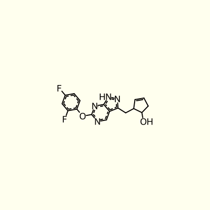 OC1CC=CC1Cc1n[nH]c2nc(Oc3ccc(F)cc3F)ncc12